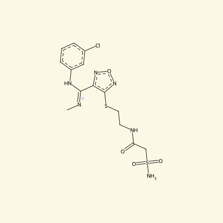 C/N=C(\Nc1cccc(Cl)c1)c1nonc1SCCNC(=O)CS(N)(=O)=O